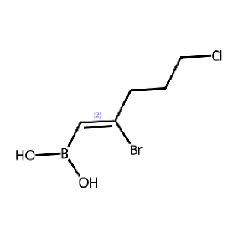 OB(O)/C=C(\Br)CCCCl